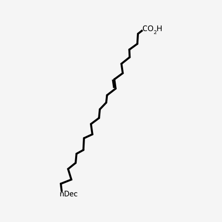 CCCCCCCCCCCCCCCCCCCCCCCC=CCCCCCCC(=O)O